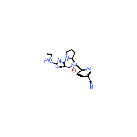 CCNc1ncc2c(n1)N1CCCC1C[N+]([O-])(Cc1ccc(C#N)cn1)C2